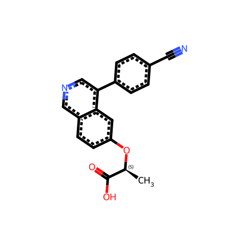 C[C@H](Oc1ccc2cncc(-c3ccc(C#N)cc3)c2c1)C(=O)O